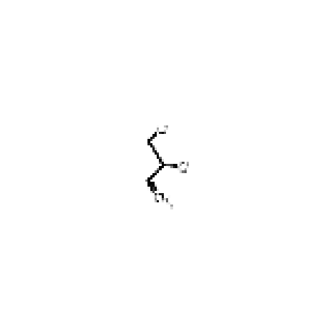 C=C[C@H](Cl)CCl